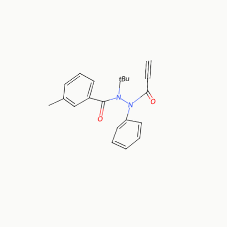 C#CC(=O)N(c1ccccc1)N(C(=O)c1cccc(C)c1)C(C)(C)C